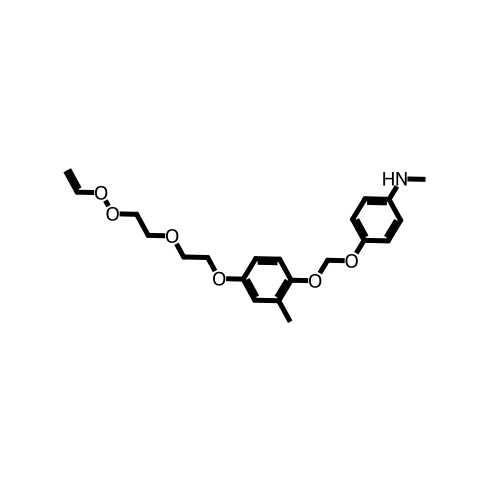 C=COOCCOCCOc1ccc(OCOc2ccc(NC)cc2)c(C)c1